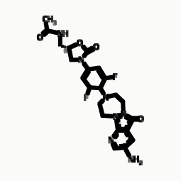 CC(=O)NC[C@H]1CN(C2=CC(F)C(N3CCn4c(=O)c5cc(N)cnc5n4CC3)C(F)=C2)C(=O)O1